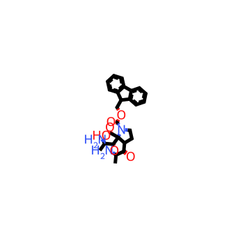 CC(N)C(=O)C1CCN(C(=O)OCC2c3ccccc3-c3ccccc32)C1(C(=O)O)C(=O)C(C)N